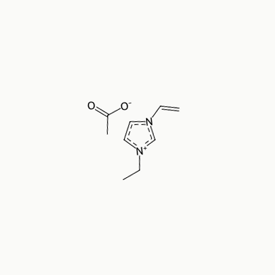 C=Cn1cc[n+](CC)c1.CC(=O)[O-]